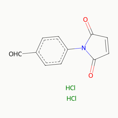 Cl.Cl.O=Cc1ccc(N2C(=O)C=CC2=O)cc1